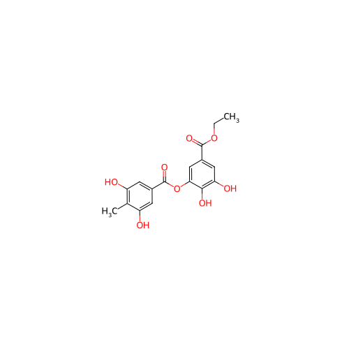 CCOC(=O)c1cc(O)c(O)c(OC(=O)c2cc(O)c(C)c(O)c2)c1